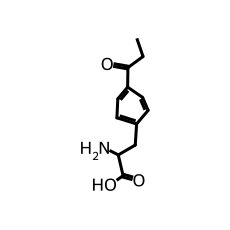 CCC(=O)c1ccc(CC(N)C(=O)O)cc1